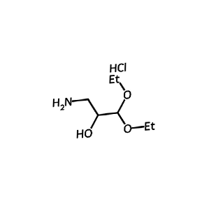 CCOC(OCC)C(O)CN.Cl